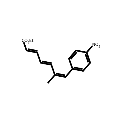 CCOC(=O)C=CC=CC(C)=Cc1ccc([N+](=O)[O-])cc1